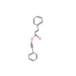 O=C(C=Cc1ccccc1)OC#Cc1ccccc1